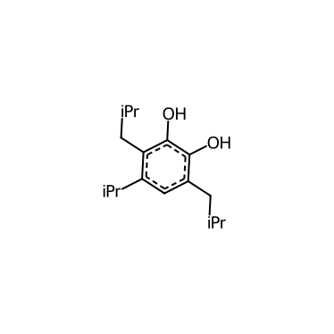 CC(C)Cc1cc(C(C)C)c(CC(C)C)c(O)c1O